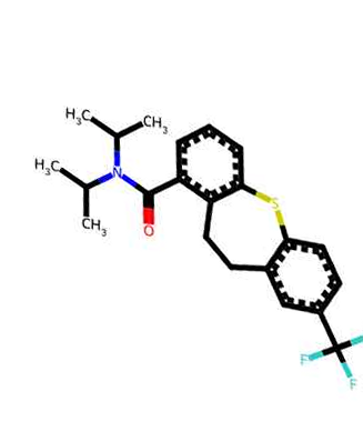 CC(C)N(C(=O)c1cccc2c1CCc1cc(C(F)(F)F)ccc1S2)C(C)C